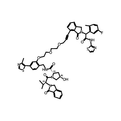 Cc1ccc(F)cc1C(C(=O)Nc1nccs1)N1Cc2cccc(C#CCOCCOCCOc3cc(-c4scnc4C)ccc3CNC(=O)[C@@H]3C[C@@H](O)CN3C(=O)[C@H](C(C)C)N3Cc4ccccc4C3=O)c2C1=O